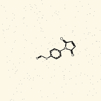 O=C1C=CC(=O)N1c1ccc(SC=S)cc1